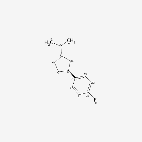 CC(C)[C@H]1CC[C@H](c2ccc(F)cc2)C1